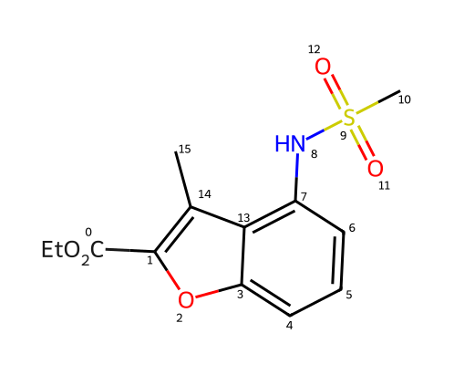 CCOC(=O)c1oc2cccc(NS(C)(=O)=O)c2c1C